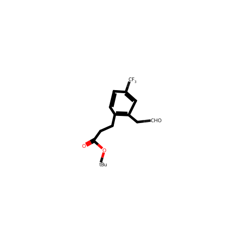 CC(C)(C)OC(=O)CCc1ccc(C(F)(F)F)cc1CC=O